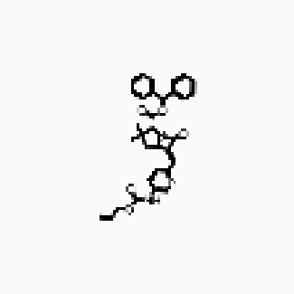 C=CCOC(=O)Nc1ccc(/C=C2/C(=O)N3C2CC(C)(C)[C@@H]3C(=O)OC(c2ccccc2)c2ccccc2)nc1